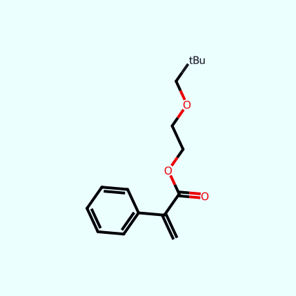 C=C(C(=O)OCCOCC(C)(C)C)c1ccccc1